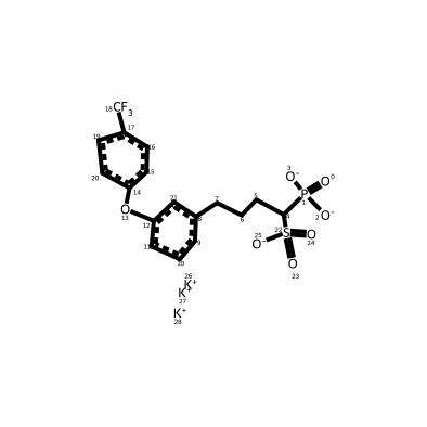 O=P([O-])([O-])C(CCCc1cccc(Oc2ccc(C(F)(F)F)cc2)c1)S(=O)(=O)[O-].[K+].[K+].[K+]